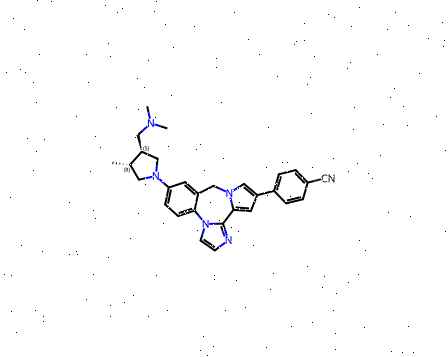 C[C@H]1CN(c2ccc3c(c2)Cn2cc(-c4ccc(C#N)cc4)cc2-c2nccn2-3)C[C@@H]1CN(C)C